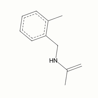 C=C(C)NCc1ccccc1C